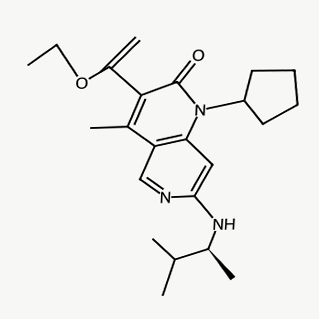 C=C(OCC)c1c(C)c2cnc(N[C@@H](C)C(C)C)cc2n(C2CCCC2)c1=O